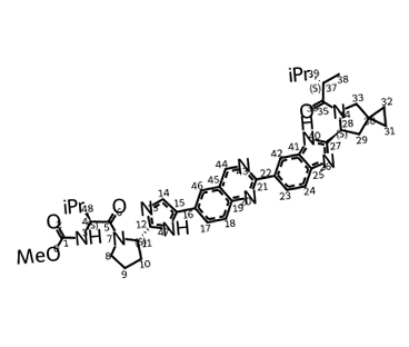 COC(=O)N[C@H](C(=O)N1CCC[C@H]1c1ncc(-c2ccc3nc(-c4ccc5nc([C@@H]6CC7(CC7)CN6C(=O)[C@@H](C)C(C)C)[nH]c5c4)ncc3c2)[nH]1)C(C)C